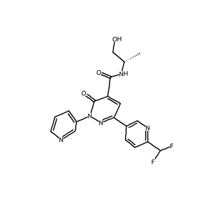 C[C@@H](CO)NC(=O)c1cc(-c2ccc(C(F)F)nc2)nn(-c2cccnc2)c1=O